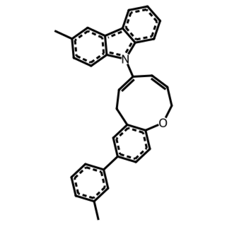 Cc1cccc(-c2ccc3c(c2)C/C=C(n2c4ccccc4c4cc(C)ccc42)\C=C/CO3)c1